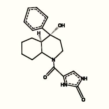 O=C(c1c[nH]c(=O)[nH]1)N1CC[C@](O)(c2ccccc2)[C@@H]2CCCCC21